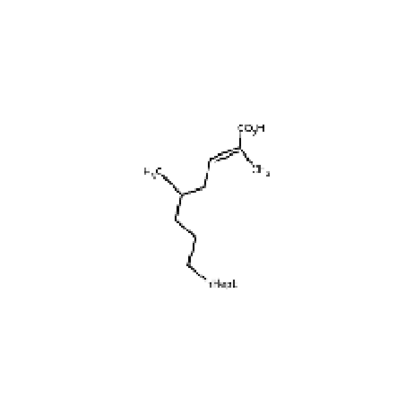 CCCCCCCCCCC(C)CC=C(C)C(=O)O